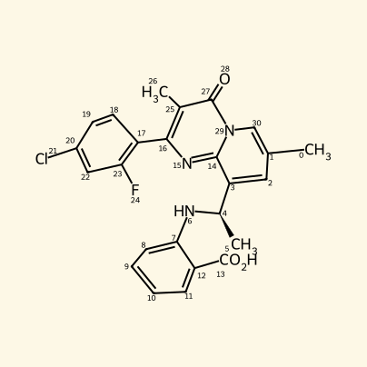 Cc1cc([C@@H](C)Nc2ccccc2C(=O)O)c2nc(-c3ccc(Cl)cc3F)c(C)c(=O)n2c1